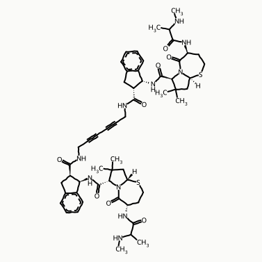 CNC(C)C(=O)N[C@H]1CCS[C@H]2CC(C)(C)[C@@H](C(=O)N[C@H]3c4ccccc4C[C@H]3C(=O)NCC#CC#CCNC(=O)[C@@H]3Cc4ccccc4[C@@H]3NC(=O)[C@H]3N4C(=O)[C@@H](NC(=O)C(C)NC)CCS[C@H]4CC3(C)C)N2C1=O